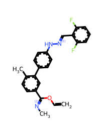 C=CO/C(=N\C)c1ccc(C)c(-c2ccc(N/N=C/c3c(F)cccc3F)cc2)c1